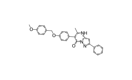 COc1ccc(COc2ccc(-c3c(C)[nH]c4cc(-c5ccccc5)nn4c3=O)cc2)cc1